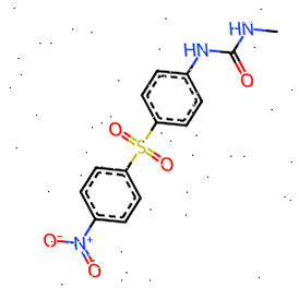 CNC(=O)Nc1ccc(S(=O)(=O)c2ccc([N+](=O)[O-])cc2)cc1